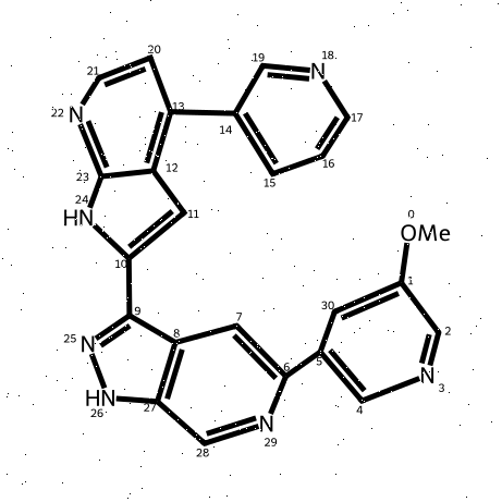 COc1cncc(-c2cc3c(-c4cc5c(-c6cccnc6)ccnc5[nH]4)n[nH]c3cn2)c1